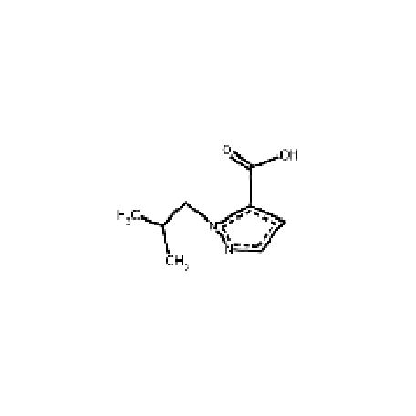 CC(C)Cn1nccc1C(=O)O